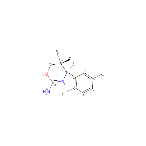 Cc1ccc(F)c([C@@]2(C)N=C(N)OC[C@]2(C)F)c1